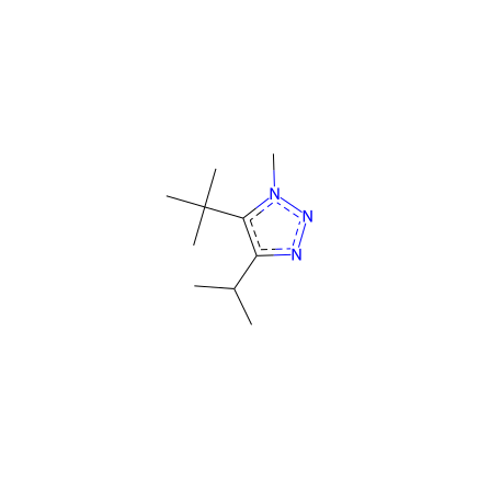 CC(C)c1nnn(C)c1C(C)(C)C